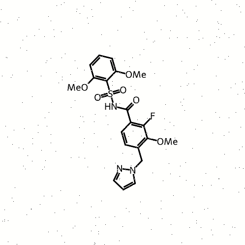 COc1cccc(OC)c1S(=O)(=O)NC(=O)c1ccc(Cn2cccn2)c(OC)c1F